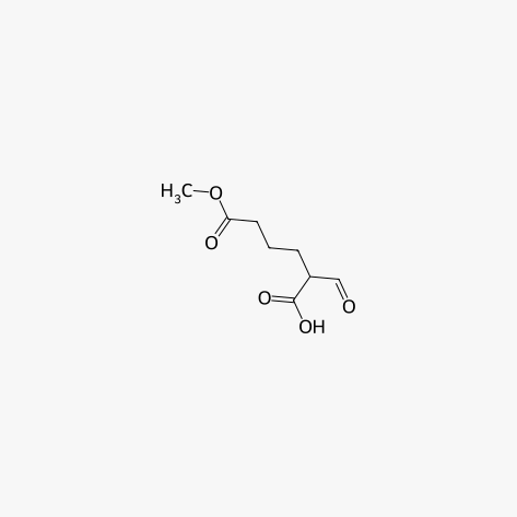 COC(=O)CCCC(C=O)C(=O)O